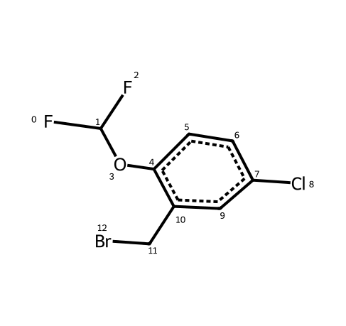 FC(F)Oc1ccc(Cl)cc1CBr